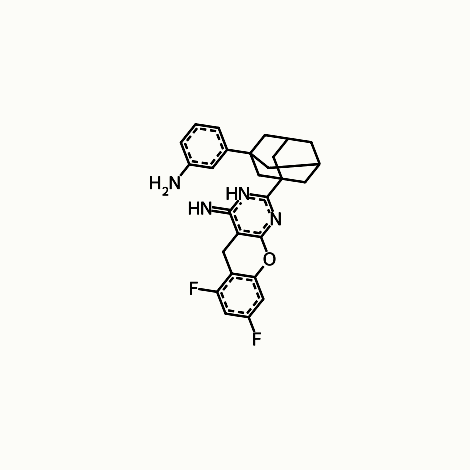 N=c1[nH]c(C23CC4CC(CC(c5cccc(N)c5)(C4)C2)C3)nc2c1Cc1c(F)cc(F)cc1O2